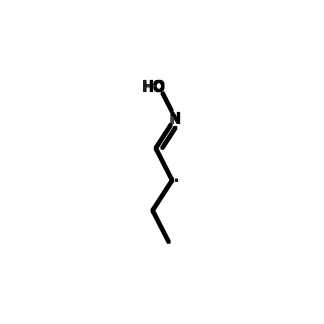 CC[CH]C=NO